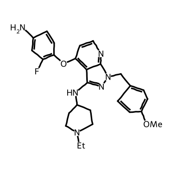 CCN1CCC(Nc2nn(Cc3ccc(OC)cc3)c3nccc(Oc4ccc(N)cc4F)c23)CC1